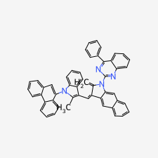 C=c1/c(=C\c2c(C)n(-c3cc4ccccc4c4ccccc34)c3ccccc23)c2cc3ccccc3cc2n1-c1nc(-c2ccccc2)c2ccccc2n1